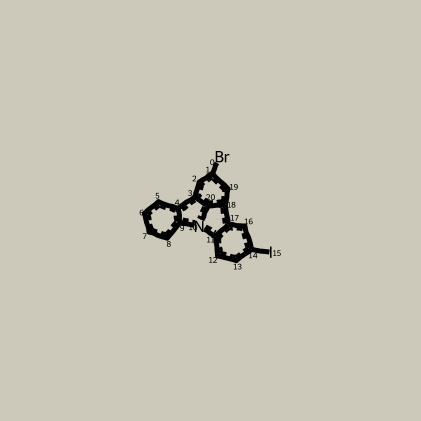 Brc1cc2c3ccccc3n3c4ccc(I)cc4c(c1)c23